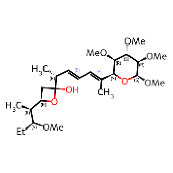 CC[C@H](OC)[C@@H](C)[C@H]1CC(O)([C@H](C)/C=C/C=C(\C)[C@@H]2O[C@H](OC)[C@H](OC)[C@@H](OC)[C@@H]2OC)O1